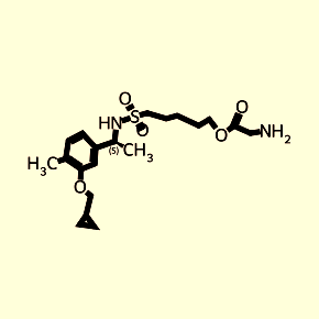 Cc1ccc([C@H](C)NS(=O)(=O)CCCCCOC(=O)CN)cc1OCC1CC1